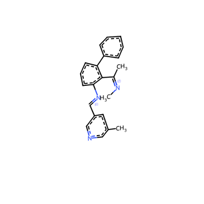 C/N=C(/C)c1c(/N=C/c2cncc(C)c2)cccc1-c1ccccc1